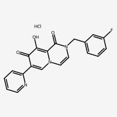 Cl.O=c1c(-c2ccccn2)cn2ccn(Cc3cccc(F)c3)c(=O)c2c1O